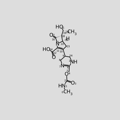 CNC(=O)OCC1=NCC(C2=C(C(=O)O)N3C(=O)[C@H]([C@@H](C)O)[C@H]3C2)CN1